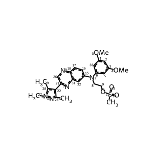 COc1cc(OC)cc(N(CCOS(C)(=O)=O)c2ccc3ncc(-c4c(C)nn(C)c4C)nc3c2)c1